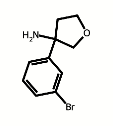 NC1(c2cccc(Br)c2)CCOC1